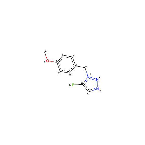 COc1ccc(Cn2nncc2F)cc1